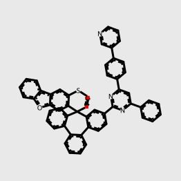 c1ccc(-c2cc(-c3ccc(-c4cccnc4)cc3)nc(-c3ccc4c(c3)C3(c5ccccc5Sc5cc6c(cc53)oc3ccccc36)c3ccccc3-c3ccccc3-4)n2)cc1